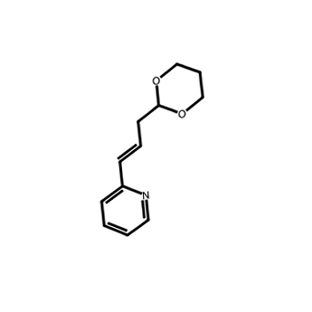 C(=Cc1ccccn1)CC1OCCCO1